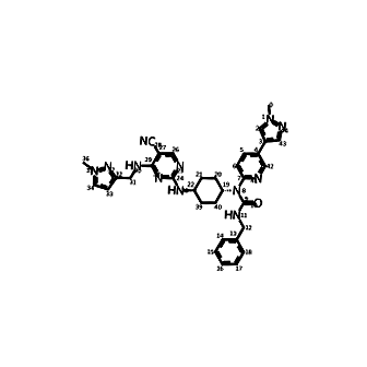 Cn1cc(-c2ccc(N(C(=O)NCc3ccccc3)[C@H]3CC[C@H](Nc4ncc(C#N)c(NCc5ccn(C)n5)n4)CC3)nc2)cn1